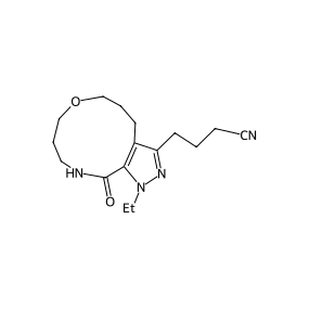 CCn1nc(CCCC#N)c2c1C(=O)NCCCOCCC2